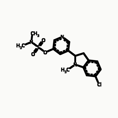 CN1c2cc(Cl)ccc2CC1c1cncc(OS(=O)(=O)N(C)C)c1